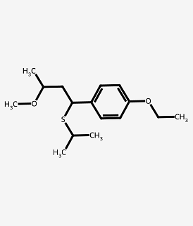 CCOc1ccc(C(CC(C)OC)SC(C)C)cc1